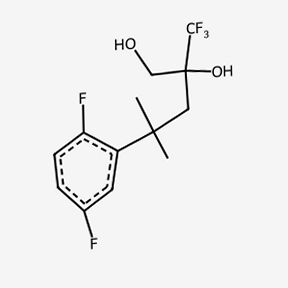 CC(C)(CC(O)(CO)C(F)(F)F)c1cc(F)ccc1F